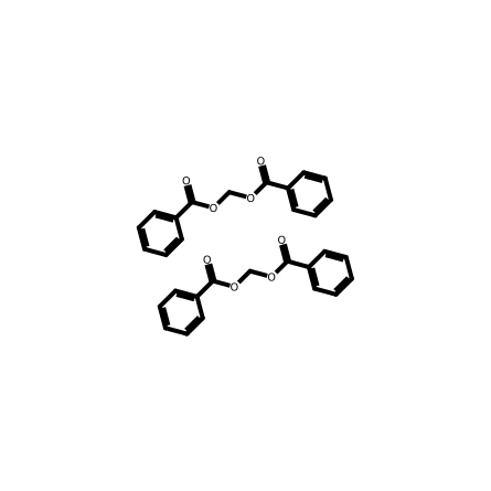 O=C(OCOC(=O)c1ccccc1)c1ccccc1.O=C(OCOC(=O)c1ccccc1)c1ccccc1